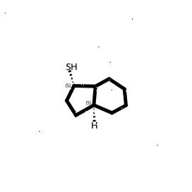 S[C@H]1CC[C@@H]2CCCCC21